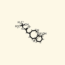 CC(C)(C)OC(=O)CC1CCN[C@@H]2[C@@H](CCC[C@@H]2O)CC1